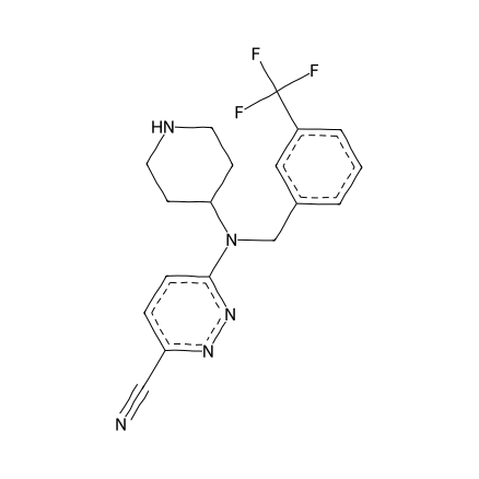 N#Cc1ccc(N(Cc2cccc(C(F)(F)F)c2)C2CCNCC2)nn1